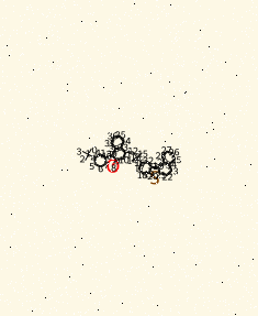 CC(C)(C)c1ccc2oc3cc(CC(C)(C)c4ccc5sc6ccc7ccccc7c6c5c4)c4ccccc4c3c2c1